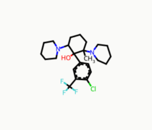 CC1(N2CCCCC2)CCCC(N2CCCCC2)C1(O)c1ccc(Cl)c(C(F)(F)F)c1